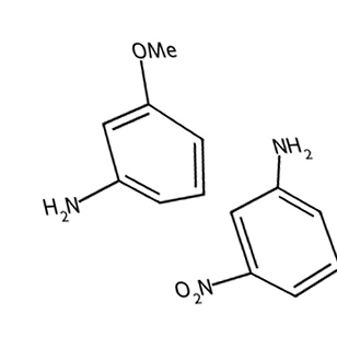 COc1cccc(N)c1.Nc1cccc([N+](=O)[O-])c1